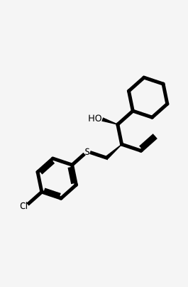 C=C[C@@H](CSc1ccc(Cl)cc1)[C@@H](O)C1CCCCC1